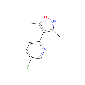 Cc1noc(C)c1-c1[c]cc(Cl)cn1